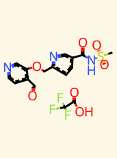 CS(=O)(=O)NC(=O)c1ccc(COc2cnccc2C=O)nc1.O=C(O)C(F)(F)F